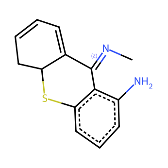 C/N=C1/C2=CC=CCC2Sc2cccc(N)c21